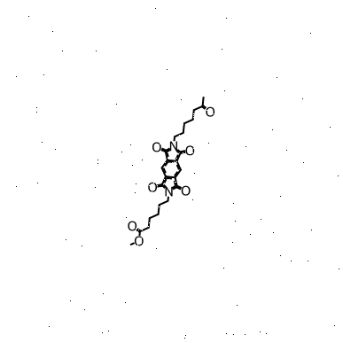 COC(=O)CCCCCn1c(=O)c2cc3c(=O)n(CCCCCC(C)=O)c(=O)c3cc2c1=O